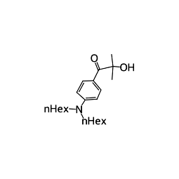 CCCCCCN(CCCCCC)c1ccc(C(=O)C(C)(C)O)cc1